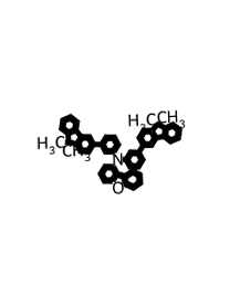 CC1(C)c2ccccc2-c2cc(-c3cccc(N(c4cccc(-c5ccc6c(c5)-c5ccccc5C6(C)C)c4)c4cccc5oc6ccccc6c45)c3)ccc21